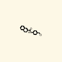 O=C(Nc1ccc(CCl)cc1)C1=Cc2ccccc2CC1